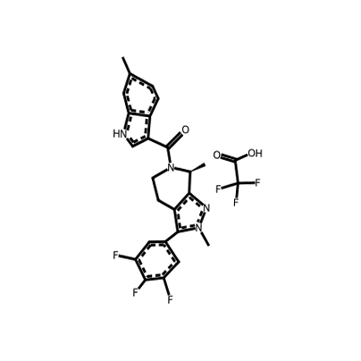 Cc1ccc2c(C(=O)N3CCc4c(nn(C)c4-c4cc(F)c(F)c(F)c4)[C@@H]3C)c[nH]c2c1.O=C(O)C(F)(F)F